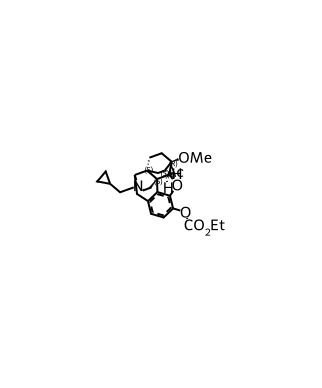 CCOC(=O)Oc1ccc2c3c1O[C@H]1[C@@]4(OC)CC[C@@]5(C[C@@H]4C(C)=O)C(C2)N(CC2CC2)CC[C@]315